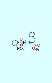 Cc1cccc(C[C@@H](C(=O)OC(C)(C)C)N2CCN(S(=O)(=O)c3ccccc3[N+](=O)[O-])[C@@H](C)C2)c1